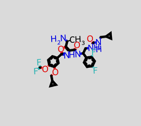 C[C@H](N)c1oc(-c2ccc(OC(F)F)c(OCC3CC3)c2)nc1C(=O)NC(CNC(=O)NCC1CC1)c1ccc(F)cc1F